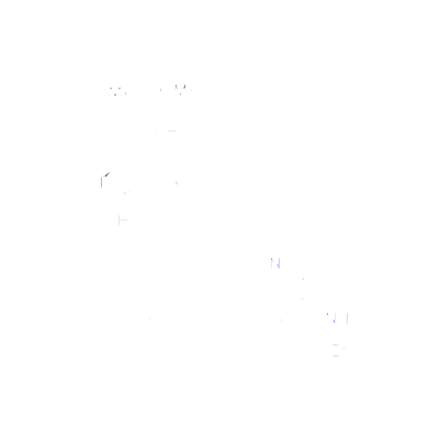 CCNC(=O)ON=Cc1ccc([C@H]2C[C@@]3(C)[C@@H](CC[C@]3(COC)OC)[C@@H]3CCC4=CC(=O)CCC4=C32)cc1